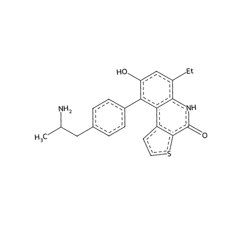 CCc1cc(O)c(-c2ccc(CC(C)N)cc2)c2c1[nH]c(=O)c1sccc12